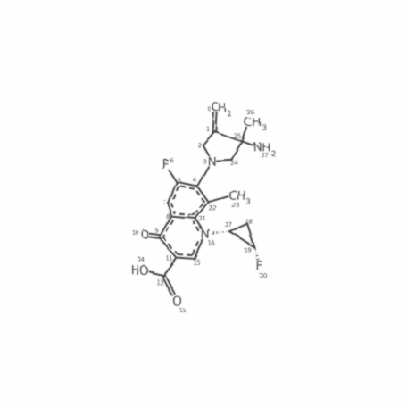 C=C1CN(c2c(F)cc3c(=O)c(C(=O)O)cn([C@@H]4C[C@@H]4F)c3c2C)CC1(C)N